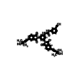 C#Cc1cccc(NC(=O)Nc2cc(N3C(=O)c4ccc(C#CC(C)(C)O)cc4C3=O)cc(N3C(=O)c4ccc(C#CC(C)(C)O)cc4C3=O)c2)c1